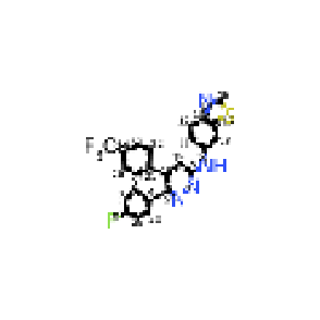 Fc1ccc(-c2nnc(Nc3ccc4ncsc4c3)cc2-c2ccc(C(F)(F)F)cc2)cc1